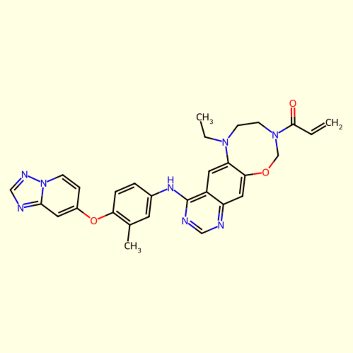 C=CC(=O)N1CCN(CC)c2cc3c(Nc4ccc(Oc5ccn6ncnc6c5)c(C)c4)ncnc3cc2OC1